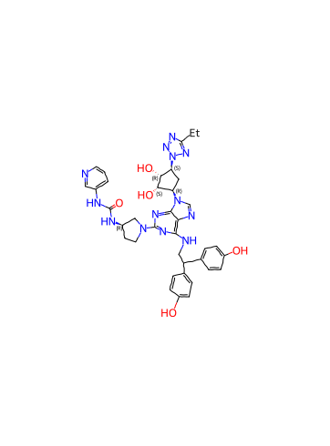 CCc1nnn([C@H]2C[C@@H](n3cnc4c(NCC(c5ccc(O)cc5)c5ccc(O)cc5)nc(N5CC[C@@H](NC(=O)Nc6cccnc6)C5)nc43)[C@H](O)[C@@H]2O)n1